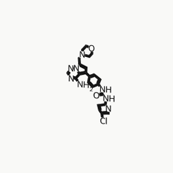 Nc1ncnn2c(CN3CCOCC3)cc(-c3ccc(NC(=O)Nc4ccc(Cl)cn4)cc3)c12